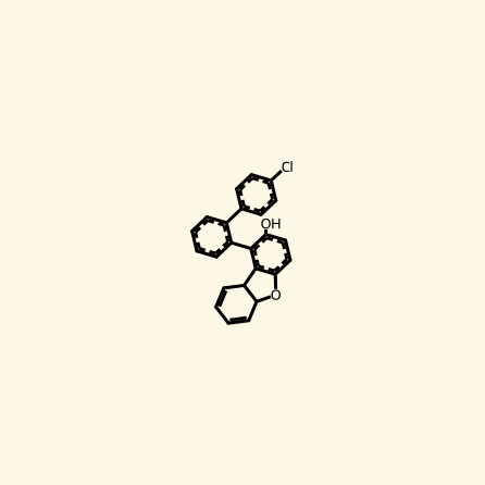 Oc1ccc2c(c1-c1ccccc1-c1ccc(Cl)cc1)C1C=CC=CC1O2